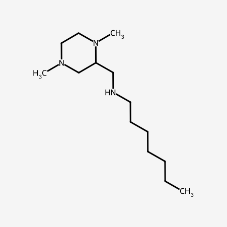 CCCCCCCNCC1CN(C)CCN1C